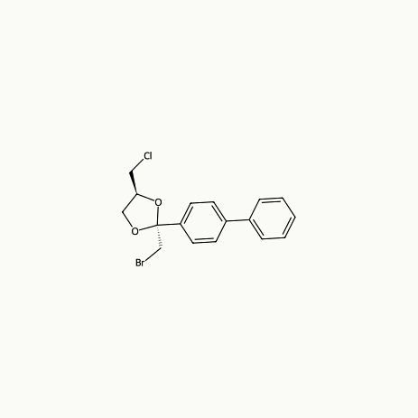 ClC[C@@H]1CO[C@](CBr)(c2ccc(-c3ccccc3)cc2)O1